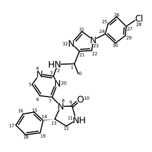 CC(Nc1nccc(N2C(=O)NC[C@@H]2c2ccccc2)n1)c1cn(-c2ccc(Cl)cc2)cn1